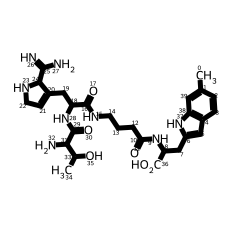 Cc1ccc2cc(CC(NC(=O)CCCNC(=O)C(CC3=CCNC3C(=N)N)NC(=O)C(N)C(C)O)C(=O)O)[nH]c2c1